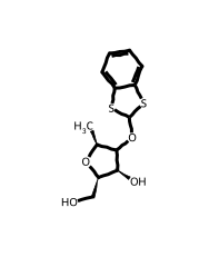 C[C@@H]1O[C@H](CO)[C@H](O)C1OC1Sc2ccccc2S1